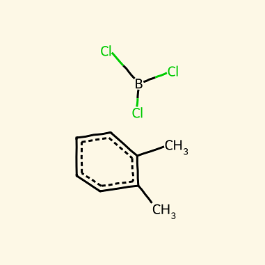 Cc1ccccc1C.ClB(Cl)Cl